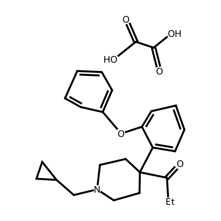 CCC(=O)C1(c2ccccc2Oc2ccccc2)CCN(CC2CC2)CC1.O=C(O)C(=O)O